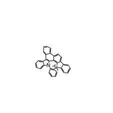 C[Si]1(C)c2ccccc2-c2ccc3c4ccccc4c4c5ccccc5n(-c5ccccc5)c4c3c21